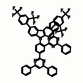 FC(F)(F)c1ccc(-c2ccc3c(c2)c2cc(-c4ccc(C(F)(F)F)cc4C(F)(F)F)ccc2n3-c2ccc(-c3nc(-c4ccccc4)cc(-c4ccccc4)n3)cc2-c2nc(-c3ccccc3)nc(-c3ccccc3)n2)c(C(F)(F)F)c1